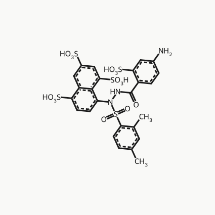 Cc1ccc(S(=O)(=O)N(NC(=O)c2ccc(N)cc2S(=O)(=O)O)c2ccc(S(=O)(=O)O)c3cc(S(=O)(=O)O)cc(S(=O)(=O)O)c23)c(C)c1